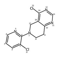 Clc1cccnc1N1CCc2ncnc(Cl)c2C1